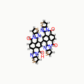 O=c1c2ccc3c(=O)n4c5ccsc5nc4c4c(-c5cc6c7c(ccc8c(=O)n9c%10ccsc%10nc9c5c78)-c5nc7sccc7n5C6O)cc(c2c34)c2nc3sccc3n12